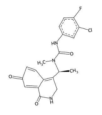 C[C@@H](C1=C2C=CC(=O)C=C2C(=O)NC1)N(C)C(=O)Nc1ccc(F)c(Cl)c1